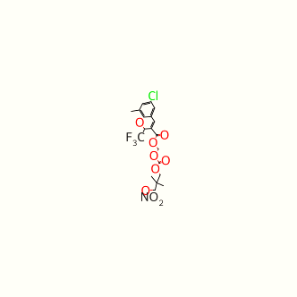 Cc1cc(Cl)cc2c1O[C@H](C(F)(F)F)C(C(=O)OCOC(=O)OCC(C)(C)CO[N+](=O)[O-])=C2